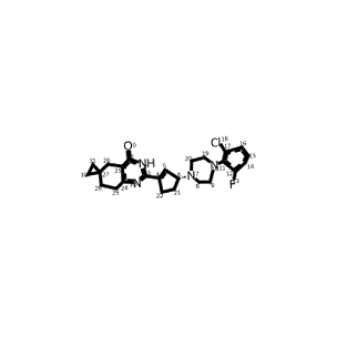 O=c1[nH]c(C2=C[C@H](N3CCN(c4c(F)cccc4Cl)CC3)CC2)nc2c1CC1(CC2)CC1